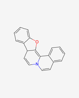 C1=CN2C=CC3C(=C2c2ccccc21)Oc1ccccc13